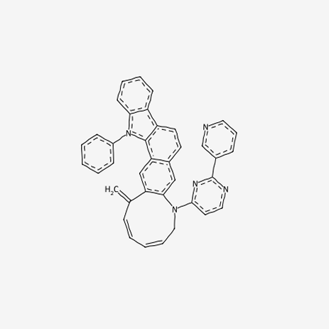 C=C1/C=C\C=C/CN(c2ccnc(-c3cccnc3)n2)c2cc3ccc4c5ccccc5n(-c5ccccc5)c4c3cc21